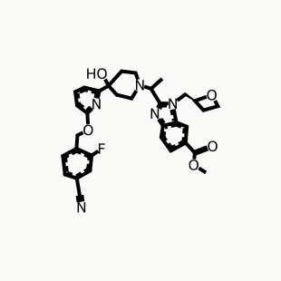 COC(=O)c1ccc2nc(C(C)N3CCC(O)(c4cccc(OCc5ccc(C#N)cc5F)n4)CC3)n(C[C@@H]3CCO3)c2c1